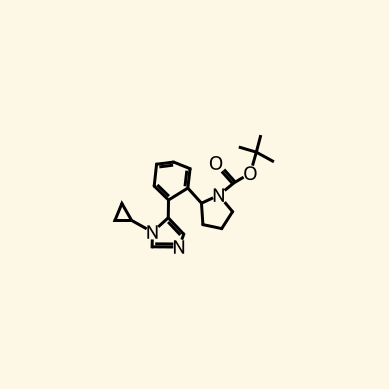 CC(C)(C)OC(=O)N1CCCC1c1ccccc1-c1cncn1C1CC1